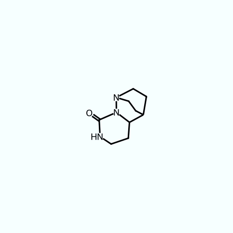 O=C1NCCC2C3CCN(CC3)N12